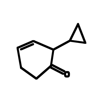 O=C1CCC=CC1C1CC1